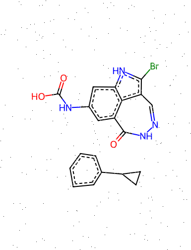 O=C(O)Nc1cc2c3c(c(Br)[nH]c3c1)C=NNC2=O.c1ccc(C2CC2)cc1